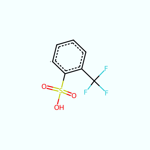 O=S(=O)(O)c1[c]cccc1C(F)(F)F